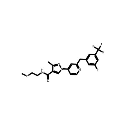 COCCNC(=O)c1cn(-c2ccnc(Cc3cc(F)cc(C(F)(F)F)c3)c2)nc1C